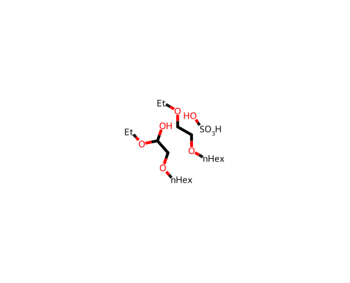 CCCCCCOCC(O)OCC.CCCCCCOCCOCC.O=S(=O)(O)O